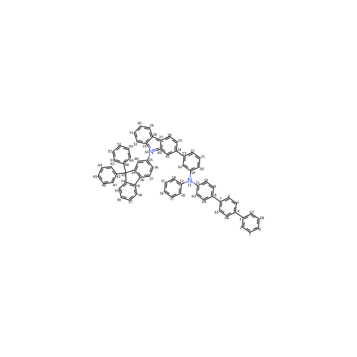 c1ccc(-c2ccc(-c3ccc(N(c4ccccc4)c4cccc(-c5ccc6c7ccccc7n(-c7ccc8c(c7)C(c7ccccc7)(c7ccccc7)c7ccccc7-8)c6c5)c4)cc3)cc2)cc1